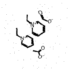 CC(=O)[O-].CC[n+]1ccccc1.CC[n+]1ccccc1.O=C[O-]